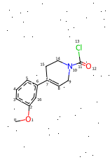 COc1cccc(C2=CCN(C(=O)Cl)CC2)c1